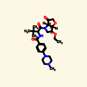 CCO[C@H]1CN(C(=O)C(NC(=O)c2ccc(N3CCN(C)CC3)cc2)C(C)(C)C)[C@@H]2C(=O)CO[C@H]12